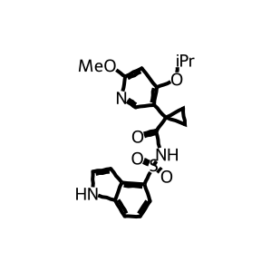 COc1cc(OC(C)C)c(C2(C(=O)NS(=O)(=O)c3cccc4[nH]ccc34)CC2)cn1